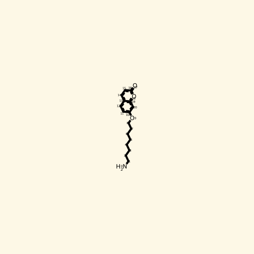 NCCCCCCCCOc1ccc2ccc(=O)oc2c1